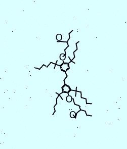 CCCCCC(C)(C)c1cc(CCc2cc(C(C)(C)CCCCC)c(OCCCC(CCC)C3CO3)c(C(C)(C)CCCCC)c2)cc(C(C)(C)CCCCC)c1OCCCC(CCC)C1CO1